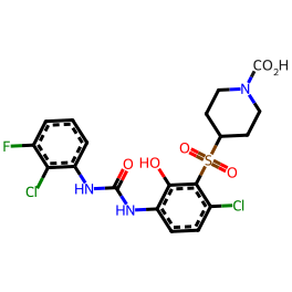 O=C(Nc1ccc(Cl)c(S(=O)(=O)C2CCN(C(=O)O)CC2)c1O)Nc1cccc(F)c1Cl